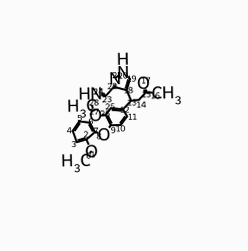 COc1ccccc1Oc1ccc(C(CC(C)=O)c2c[nH]nc2C=N)cc1OC